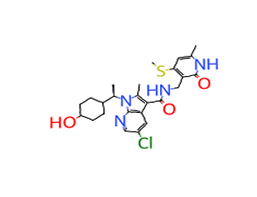 CSc1cc(C)[nH]c(=O)c1CNC(=O)c1c(C)n([C@H](C)C2CCC(O)CC2)c2ncc(Cl)cc12